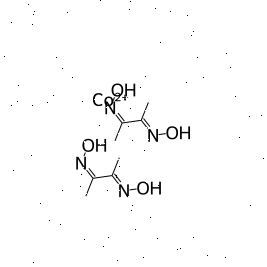 CC(=NO)C(C)=NO.CC(=NO)C(C)=NO.[Co+2]